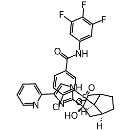 O=C(Nc1cc(F)c(F)c(F)c1)c1ccc(Cl)c(S(=O)(=O)[C@H]2C3CC[C@H]2C[C@](O)(c2nc(-c4ccccn4)c[nH]2)C3)c1